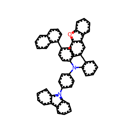 c1ccc(N(c2ccc(-c3cccc4ccccc34)cc2)c2ccc(-n3c4ccccc4c4ccccc43)cc2)c(-c2ccc3oc4ccccc4c3c2)c1